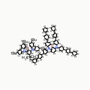 CC(C)(C)c1ccc2c(c1)c1cc(C(C)(C)C)cc3c1n2-c1cc(C(C)(C)Cc2cccc(-c4ccc(-c5ccc(N6c7ccc(-c8ccc(-c9ccccc9)cc8)cc7B7c8cc(-c9ccc(-c%10ccccc%10)cc9)ccc8N(c8ccc(-c9ccc(-c%10ccccc%10)cc9)cc8)c8cccc6c87)cc5)cc4)c2)cc2c1B3c1cc(C(C)(C)C)cc3c4cc(C(C)(C)C)ccc4n-2c13